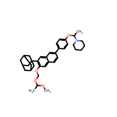 COC(C)OCOc1cc2ccc(-c3ccc(OC(C)N4CCCCC4)cc3)cc2cc1C12CC3CC(CC(C3)C1)C2